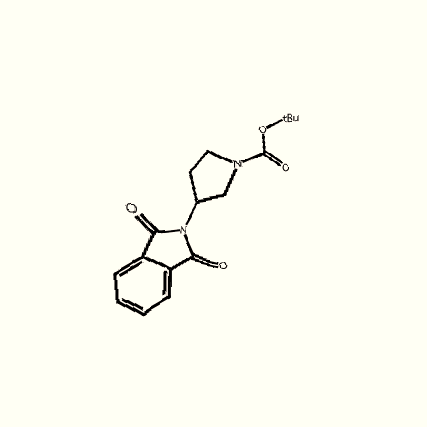 CC(C)(C)OC(=O)N1CCC(N2C(=O)c3ccccc3C2=O)C1